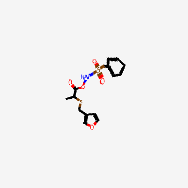 CC(SCc1ccoc1)C(=O)ONS(=O)(=O)c1ccccc1